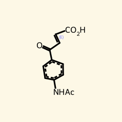 CC(=O)Nc1ccc(C(=O)/C=C/C(=O)O)cc1